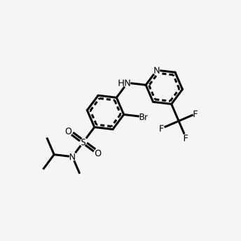 CC(C)N(C)S(=O)(=O)c1ccc(Nc2cc(C(F)(F)F)ccn2)c(Br)c1